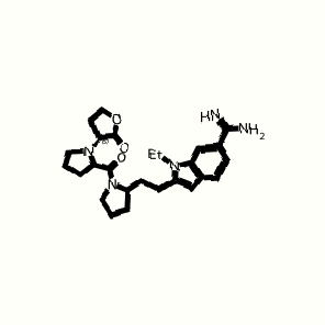 CCn1c(CCC2CCCN2C(=O)C2CCCN2[C@H]2CCOC2=O)cc2ccc(C(=N)N)cc21